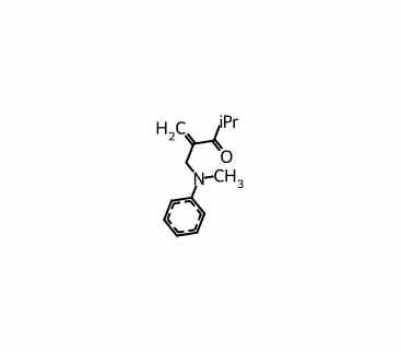 C=C(CN(C)c1ccccc1)C(=O)C(C)C